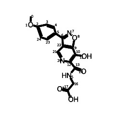 COc1ccc(-c2noc3c(O)c(C(=O)NCC(=O)O)ncc23)cc1